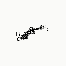 CCCCCCOC(=O)N(Cl)c1ccc(N(C)Cc2ccc(Cl)s2)cc1